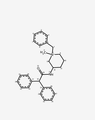 C[N+]1(Cc2ccccc2)CCCC(NC(=O)C(c2ccccc2)c2ccccc2)C1